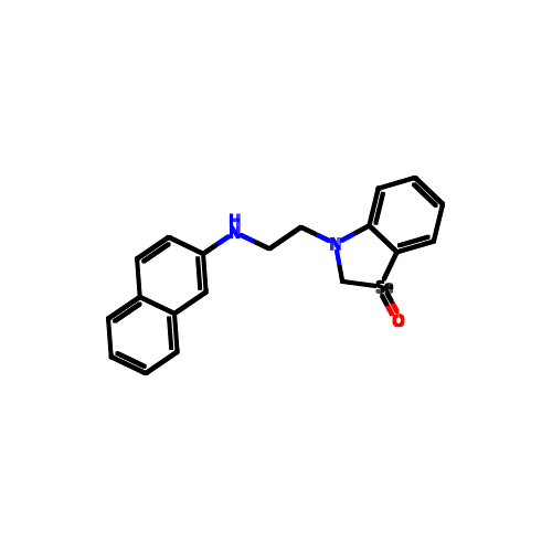 O=[Se]1CN(CCNc2ccc3ccccc3c2)c2ccccc21